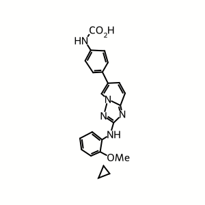 C1CC1.COc1ccccc1Nc1nc2ccc(-c3ccc(NC(=O)O)cc3)cn2n1